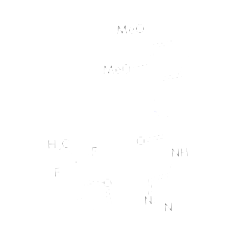 COc1cccc(/C=C/C(=O)Nc2cnn(Cc3ccc(C(C)(F)F)o3)c2)c1OC